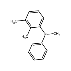 Cc1cccc(P(C)c2ccccc2)c1C